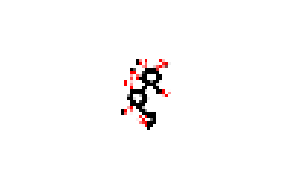 COc1cc(OC)c(-c2c(C=O)cc(OC)c(OC)c2OC)cc1-c1ccco1